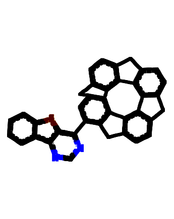 c1ccc2c(c1)sc1c(-c3cc4c5c6c3Cc3ccc7c(c3-6)-c3c(ccc6c3-c3c(ccc(c3-5)C4)C6)C7)ncnc12